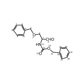 O=CC(COCc1ccccc1)NC(=O)OCc1ccccc1